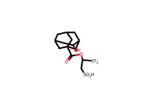 O=C(OC(CS(=O)(=O)O)C(F)(F)F)C12CC3CC(C1)C(O)C(C3)C2